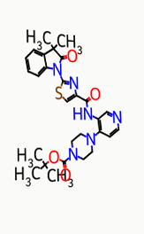 CC(C)(C)OC(=O)N1CCN(c2ccncc2NC(=O)c2csc(N3C(=O)C(C)(C)c4ccccc43)n2)CC1